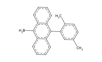 Bc1c2ccccc2c(-c2cc(C)ccc2C)c2ccccc12